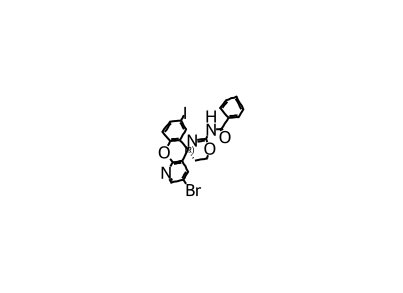 O=C(NC1=N[C@]2(CCO1)c1cc(I)ccc1Oc1ncc(Br)cc12)c1ccccc1